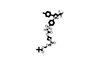 Cc1ccc(-c2cc(C(F)(F)F)nn2-c2ccc(S(=O)(=O)NC(=O)OC3CN(/[N+]([O-])=N\OCOC(=O)C(C)(C)C)C3)cc2)cc1